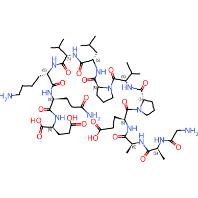 CC(C)C[C@H](NC(=O)[C@@H]1CCCN1C(=O)[C@@H](NC(=O)[C@@H]1CCCN1C(=O)[C@H](CCC(=O)O)NC(=O)[C@H](C)NC(=O)[C@H](C)NC(=O)CN)C(C)C)C(=O)N[C@H](C(=O)N[C@@H](CCCCN)C(=O)N[C@@H](CCC(N)=O)C(=O)N[C@@H](CCC(=O)O)C(=O)O)C(C)C